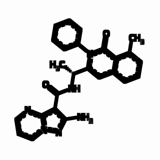 Cc1cccc2cc([C@@H](C)NC(=O)c3c(N)nn4cccnc34)n(-c3ccccc3)c(=O)c12